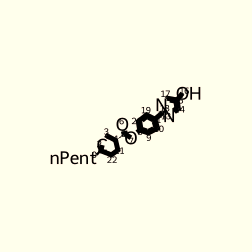 CCCCC[C@H]1CC[C@H](C(=O)Oc2ccc(-c3ncc(O)cn3)cc2)CC1